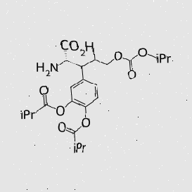 CC(C)OC(=O)OCC(C)C(c1ccc(OC(=O)C(C)C)c(OC(=O)C(C)C)c1)[C@H](N)C(=O)O